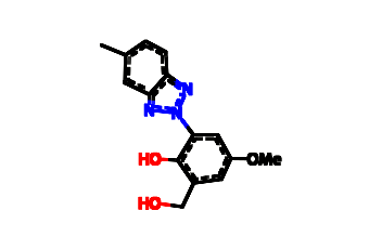 COc1cc(CO)c(O)c(-n2nc3ccc(C)cc3n2)c1